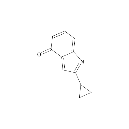 O=C1C=CC=C2N=C(C3CC3)C=C12